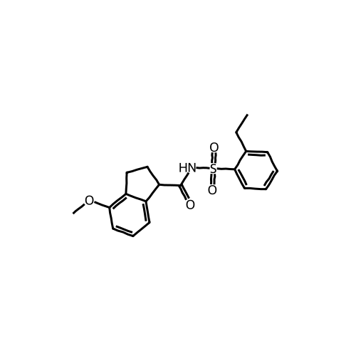 CCc1ccccc1S(=O)(=O)NC(=O)C1CCc2c(OC)cccc21